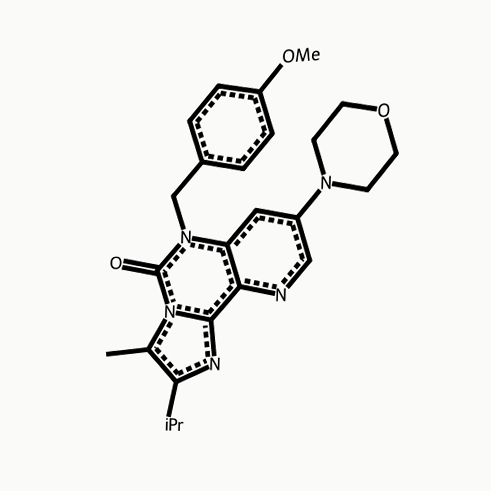 COc1ccc(Cn2c(=O)n3c(C)c(C(C)C)nc3c3ncc(N4CCOCC4)cc32)cc1